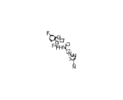 N#Cc1cnc(N2CC(NC(=O)[C@H]3C[C@H](Oc4cc(F)ccc4OC(F)F)C3)C2)s1